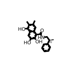 Cc1cc2c(C(=O)NC[C@@H](C)c3ccccc3)c(O)c(O)cc2c(O)c1C